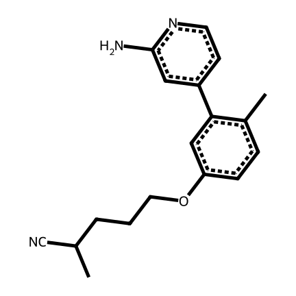 Cc1ccc(OCCCC(C)C#N)cc1-c1ccnc(N)c1